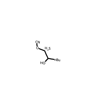 CCCCC(O)COC#N.S